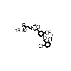 CC(C)(C)OC(=O)CCN1CCOC(c2ccc(OCc3c(Cl)cccc3Cl)c(C(F)(F)F)c2)C1